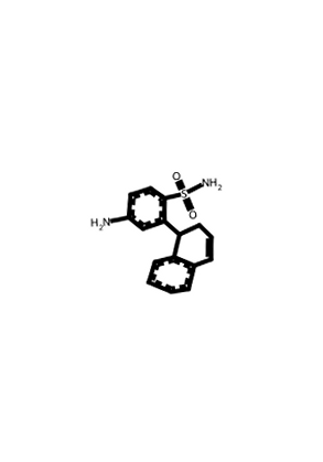 Nc1ccc(S(N)(=O)=O)c(C2CC=Cc3ccccc32)c1